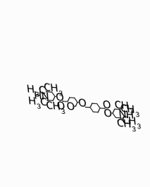 CC1(C)CC(OC(=O)C2CCC(COC3CCC(C(=O)OC4CC(C)(C)NC(C)(C)C4)OC3)CC2)CC(C)(C)N1